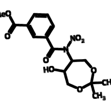 COC(=O)c1cccc(C(=O)N(C2COC(C)(C)OCC2O)[N+](=O)[O-])c1